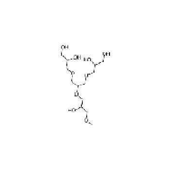 COCC(O)COC(COCC(O)CO)COCC(O)CO